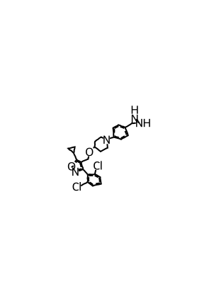 Clc1cccc(Cl)c1-c1noc(C2CC2)c1COC1CCN(c2ccc(C3NN3)cc2)CC1